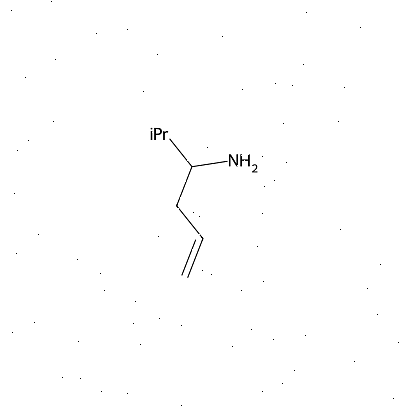 C=CCC(N)C(C)C